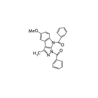 COc1ccc2c(c1)c1c(C)nn(C(=O)c3ccccc3)c1n2C(=O)c1ccccc1